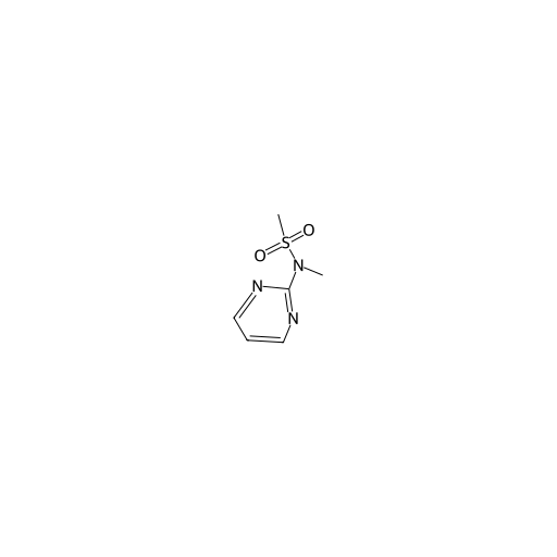 CN(c1ncccn1)S(C)(=O)=O